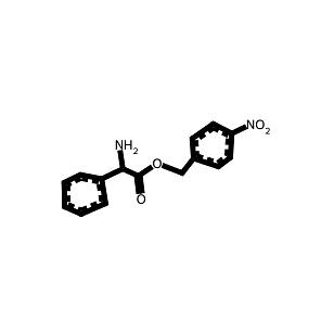 NC(C(=O)OCc1ccc([N+](=O)[O-])cc1)c1ccccc1